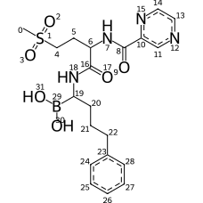 CS(=O)(=O)CCC(NC(=O)c1cnccn1)C(=O)NC(CCCc1ccccc1)B(O)O